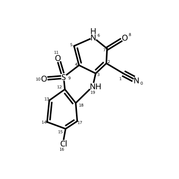 N#Cc1c2c(c[nH]c1=O)S(=O)(=O)c1ccc(Cl)cc1N2